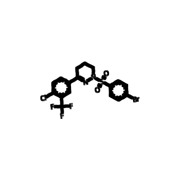 O=S(=O)(c1ccc(Br)cc1)N1CCCC(c2ccc(Cl)c(C(F)(F)F)c2)=N1